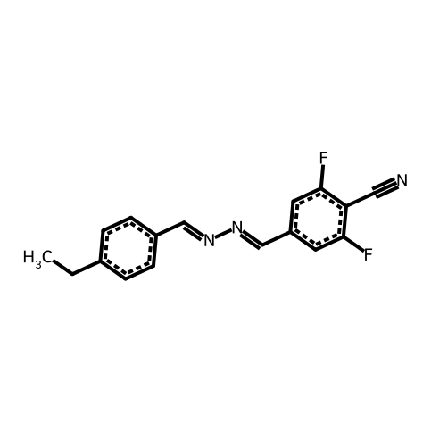 CCc1ccc(/C=N/N=C/c2cc(F)c(C#N)c(F)c2)cc1